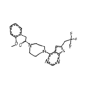 COc1ccccc1CC(=O)N1CCN(c2ncnc3sc(CC(F)(F)F)cc23)CC1